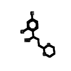 OC(CCC1OCCCO1)c1ccc(Cl)cc1Cl